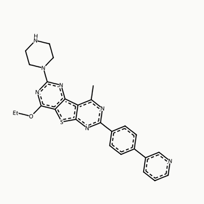 CCOc1nc(N2CCNCC2)nc2c1sc1nc(-c3ccc(-c4cccnc4)cc3)nc(C)c12